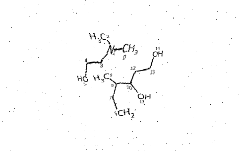 CN(C)CCO.[CH2]CC(C)C(O)CCO